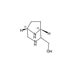 OCC1NC[C@@H]2CC[C@H]1N2